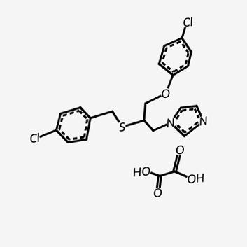 Clc1ccc(CSC(COc2ccc(Cl)cc2)Cn2ccnc2)cc1.O=C(O)C(=O)O